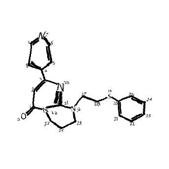 O=c1cc(-c2ccncc2)nc2n1CCCN2CCSc1ccccc1